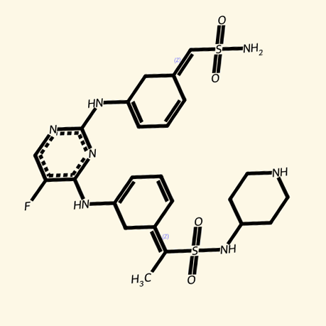 C/C(=C1/C=CC=C(Nc2nc(NC3=CC=C/C(=C\S(N)(=O)=O)C3)ncc2F)C1)S(=O)(=O)NC1CCNCC1